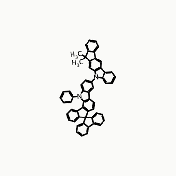 CC1(C)c2ccccc2-c2cc3c4ccccc4n(-c4ccc5c(c4)c4ccc6c(c4n5-c4ccccc4)-c4ccccc4C64c5ccccc5-c5ccccc54)c3cc21